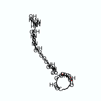 CO[C@H]1C[C@@H]2CC[C@@H](C)[C@@](O)(O2)C(=O)C(=O)N2CCCC[C@H]2C(=O)O[C@H]([C@H](C)C[C@@H]2CC[C@H](n3cc(COC(=O)NCCOCCOCCOCCOCCC(=O)NCc4cnc(N5CCN(c6ncc(C(=O)NCCCCn7nc(-c8cc9cc(O)ccc9[nH]8)c8c(N)ncnc87)cn6)CC5)nc4)nn3)[C@H](OC)C2)CC(=O)[C@H](C)/C=C(\C)[C@@H](O)[C@@H](OC)C(=O)[C@H](C)C[C@H](C)/C=C/C=C/C=C/1C